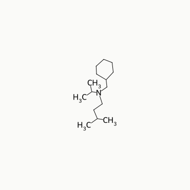 CC(C)CCN(CC1CCCCC1)C(C)C